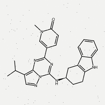 CC(C)c1cnn2c(N[C@@H]3CCc4[nH]c5ccccc5c4C3)nc(-c3ccc(=O)n(C)c3)nc12